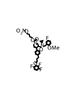 COc1ccc(F)cc1CN(C(=O)C1CN(C(=O)OCCCCO[N+](=O)[O-])CC=C1c1ccc(CCCOc2c(F)ccc(F)c2F)cc1)C1CC1